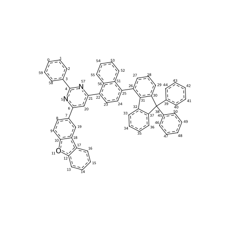 c1ccc(-c2nc(-c3ccc4oc5ccccc5c4c3)cc(-c3ccc(-c4cccc5c4-c4ccccc4C5(c4ccccc4)c4ccccc4)c4ccccc34)n2)cc1